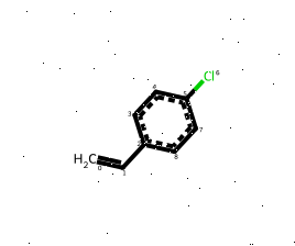 C=Cc1[c]cc(Cl)cc1